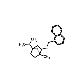 CC(C)C12CCC(C)(O1)C(OCc1cccc3ccccc13)C2